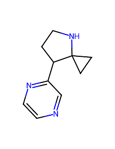 c1cnc(C2CCNC23CC3)cn1